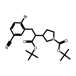 CC(C)(C)OC(=O)C(Cc1cc(C#N)ccc1Br)C1CCN(C(=O)OC(C)(C)C)C1